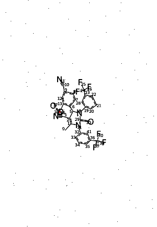 CC1=C(C#N)[C@@H](c2ccc(C#N)cc2S(C)(=O)=O)N(c2cccc(C(F)(F)F)c2)C(=O)N1c1cccc(C(F)(F)F)c1